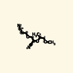 COCC(C)OC(C#N)COCN=[N+]=[N-]